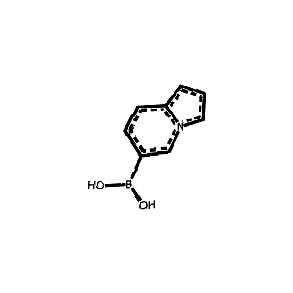 OB(O)c1ccc2cccn2c1